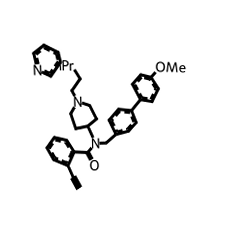 C#Cc1ccccc1C(=O)N(Cc1ccc(-c2ccc(OC)cc2)cc1)C1CCN(CCC(C)C)CC1.c1ccncc1